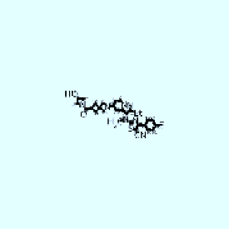 CCc1nn2ccc(N3CC4(CC(C(=O)N5CC(O)C5)C4)C3)cc2c1N(C)c1nc(-c2ccc(F)cc2)c(C#N)s1